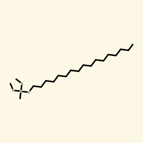 CCCCCCCCCCCCCCCCCO[Si](C)(OC)OC